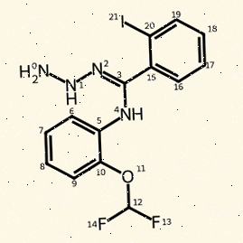 NN/N=C(\Nc1ccccc1OC(F)F)c1ccccc1I